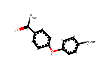 CCCCCc1ccc(Oc2ccc(C(=O)OC)cc2)cc1